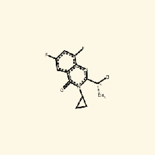 C[C@@H](Cl)c1nc2c(F)cc(F)cc2c(=O)n1C1CC1